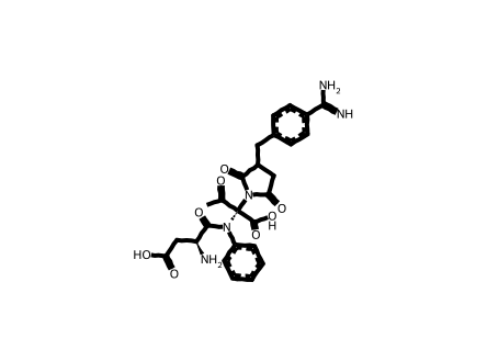 CC(=O)[C@](C(=O)O)(N1C(=O)CC(Cc2ccc(C(=N)N)cc2)C1=O)N(C(=O)[C@@H](N)CC(=O)O)c1ccccc1